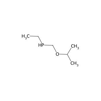 CCPCOC(C)C